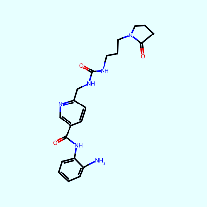 Nc1ccccc1NC(=O)c1ccc(CNC(=O)NCCCN2CCCC2=O)nc1